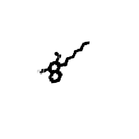 CCCCCCOc1c(OC)cc(N)c2ncccc12